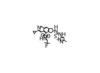 Cc1cc(NC(=S)NC2Cc3cc4cnc(C5CC5)cc4c(S(=O)(=O)NCC(C)(C)F)c3C2)n(C)n1